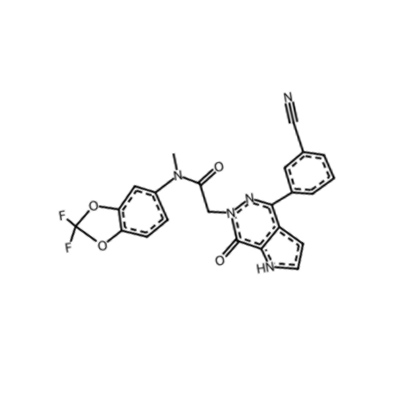 CN(C(=O)Cn1nc(-c2cccc(C#N)c2)c2cc[nH]c2c1=O)c1ccc2c(c1)OC(F)(F)O2